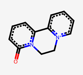 O=c1cccc2n1CC[n+]1ccccc1-2